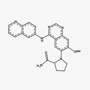 COc1cc2ncnc(Nc3ccc4ncccc4c3)c2cc1N1CCCC1C(N)=O